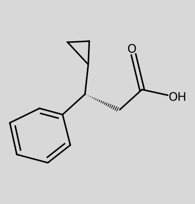 O=C(O)C[C@H](c1ccccc1)C1CC1